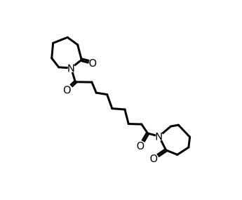 O=C(CCCCCCCC(=O)N1CCCCCC1=O)N1CCCCCC1=O